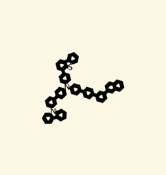 c1cc(-c2ccc(-c3ccc(N(c4ccc(-c5cccc(-n6c7ccccc7c7ccccc76)c5)cc4)c4ccc(-c5cccc6c5sc5ccccc56)cc4)cc3)cc2)cc(-c2ccc3ccccc3c2)c1